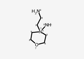 [NH][N+]1(CCN)CCOCC1